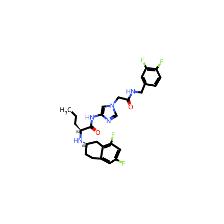 CCC[C@H](N[C@H]1CCc2cc(F)cc(F)c2C1)C(=O)Nc1cn(CC(=O)NCc2ccc(F)c(F)c2)cn1